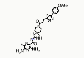 COc1ccc(-c2noc(CCC(=O)N3CCC4(CC3)CN/C(=N\C(=O)c3nc(I)c(N)nc3N)N4)n2)cc1